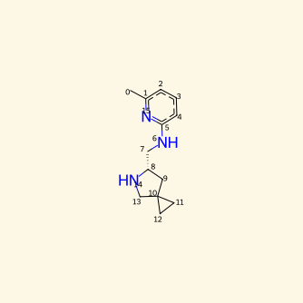 Cc1cccc(NC[C@@H]2CC3(CC3)CN2)n1